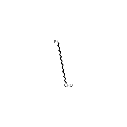 CC/C=C/C/C=C/C/C=C/C/C=C/C/C=C/CCCCCC=O